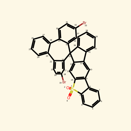 O=S1(=O)c2ccccc2-c2cc3c(cc21)C1(c2cc(Br)ccc2-c2ccccc2-c2ccc(Br)cc21)c1ccccc1-3